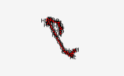 C=C(Nc1cc(C(=O)NCCOCCOCCOCCOCCOCCOCCOCCOCCNC(=O)c2ccc(-c3ccc4c(c3)[C@H](Nc3ccc(Cl)cc3)C[C@H](C)N4C(C)=O)cc2)n(C)c1)c1nc(NC(=O)CCNC(=O)c2cc(NC(=O)c3nc(NC(=O)CCN)cn3C)cn2C)cn1C